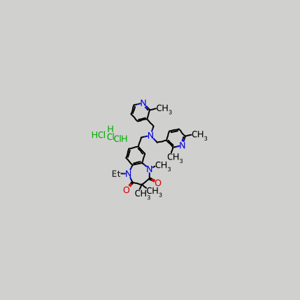 CCN1C(=O)C(C)(C)C(=O)N(C)c2cc(CN(Cc3cccnc3C)Cc3ccc(C)nc3C)ccc21.Cl.Cl.Cl